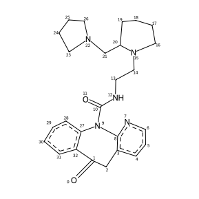 O=C1Cc2cccnc2N(C(=O)NCCN2CCCCC2CN2CCCC2)c2ccccc21